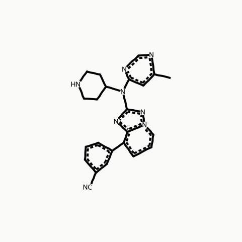 Cc1cc(N(c2nc3c(-c4cccc(C#N)c4)cccn3n2)C2CCNCC2)ncn1